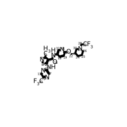 Cc1nsc(Nc2cnc(C(F)(F)F)cn2)c1C(=O)Nc1ccc(OC[C@@H]2CCCN(CC(F)(F)F)C2)nc1